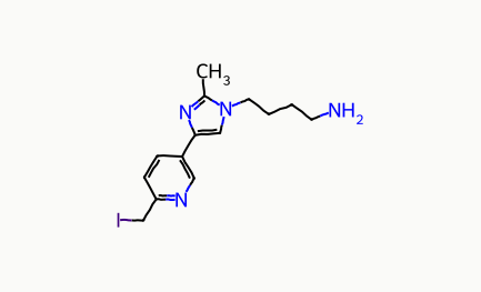 Cc1nc(-c2ccc(CI)nc2)cn1CCCCN